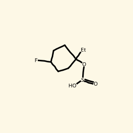 CCC1(OS(=O)O)CCC(F)CC1